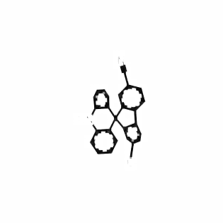 N#Cc1ccc2c(c1)C1(c3ccccc3Nc3ccccc31)c1cc(Cl)ccc1-2